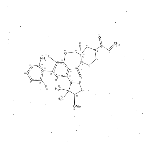 C=CC(=O)N1CCN2C(=O)c3c(N4CCC(OC)C4(C)C)nc(-c4c(N)cccc4F)c(F)c3OC[C@H]2C1